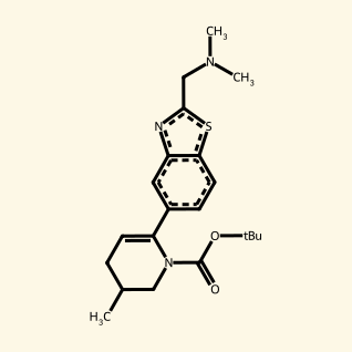 CC1CC=C(c2ccc3sc(CN(C)C)nc3c2)N(C(=O)OC(C)(C)C)C1